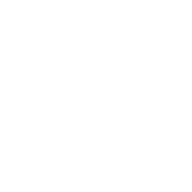 C=C(C=O)[C@@H]1CC=C(C=O)CC1